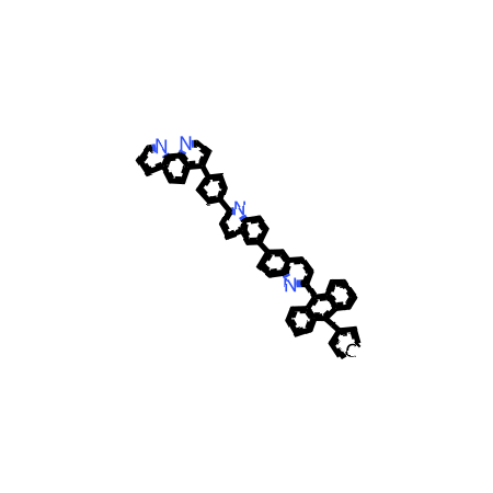 c1ccc(-c2c3ccccc3c(-c3ccc4cc(-c5ccc6nc(-c7ccc(-c8ccnc9c8ccc8cccnc89)cc7)ccc6c5)ccc4n3)c3ccccc23)cc1